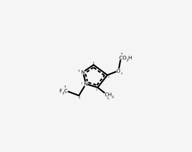 Cc1c(OC(=O)O)cnn1CC(F)(F)F